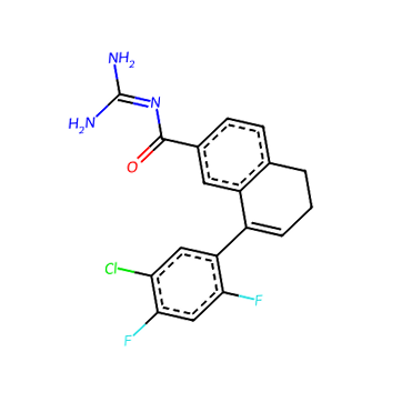 NC(N)=NC(=O)c1ccc2c(c1)C(c1cc(Cl)c(F)cc1F)=CCC2